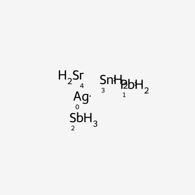 [Ag].[PbH2].[SbH3].[SnH2].[SrH2]